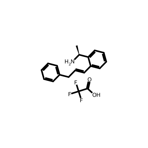 C[C@H](N)c1ccccc1/C=C/Cc1ccccc1.O=C(O)C(F)(F)F